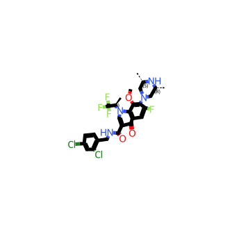 COc1c(N2C[C@@H](C)N[C@@H](C)C2)c(F)cc2c(=O)c(C(=O)NCc3ccc(Cl)cc3Cl)cn([C@H](C)C(F)(F)F)c12